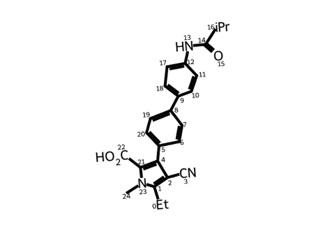 CCc1c(C#N)c(-c2ccc(-c3ccc(NC(=O)C(C)C)cc3)cc2)c(C(=O)O)n1C